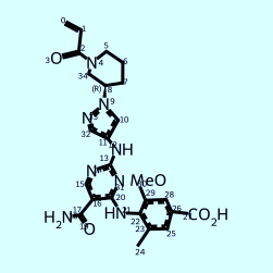 C=CC(=O)N1CCC[C@@H](n2cc(Nc3ncc(C(N)=O)c(Nc4c(C)cc(C(=O)O)cc4OC)n3)cn2)C1